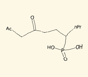 CCCC(CCC(=O)CC(C)=O)P(=O)(O)O